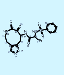 CC(C)C(NS(=O)(=O)c1ccccc1)C(=O)NC1Cc2sncc2CCNC(=O)C1=O